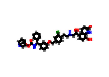 O=C(NC(c1ccccc1)c1cccc(OCc2ccc(CCNCC(O)c3ccc(O)c4[nH]c(=O)ccc34)c(Cl)c2)c1)OC1CN2CCC1CC2